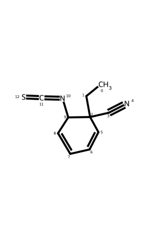 CCC1(C#N)C=CC=CC1N=C=S